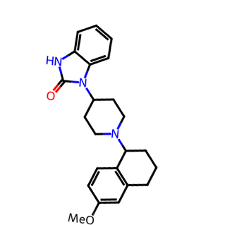 COc1ccc2c(c1)CCCC2N1CCC(n2c(=O)[nH]c3ccccc32)CC1